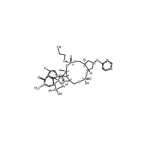 CC(C)[Si](O)(O[Si](O[C@H]1[C@H]2O[P@@](=S)(OCCC#N)OC[C@H]3C[C@@H](Oc4ccncn4)C[C@@H]3O[P@@](=O)(S)OC[C@H]1O[C@H]2n1cc(F)c2c(=O)n(C)cnc21)(C(C)C)C(C)C)C(C)C